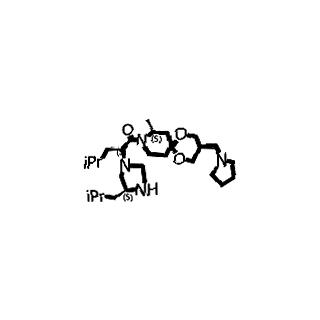 CC(C)C[C@H]1CN([C@@H](CC(C)C)C(=O)N2CCC3(C[C@@H]2C)OCC(CN2CCCC2)CO3)CCN1